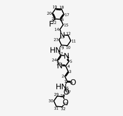 O=C(C=Cc1cnc(N[C@@H]2CCCN(CCc3ccccc3F)C2)cn1)NOC1CCCCO1